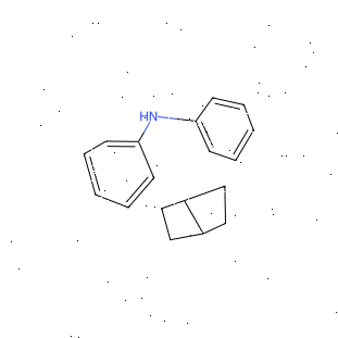 C1CC2CCC12.c1ccc(Nc2ccccc2)cc1